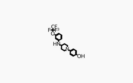 Oc1ccc(N2CCC(Nc3cccc(OC(F)(F)C(F)(F)F)c3)CC2)cc1